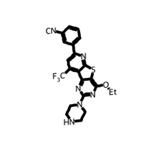 [C-]#[N+]c1cccc(-c2cc(C(F)(F)F)c3c(n2)sc2c(OCC)nc(N4CCNCC4)nc23)c1